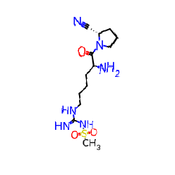 CS(=O)(=O)NC(=N)NCCCC[C@H](N)C(=O)N1CCC[C@H]1C#N